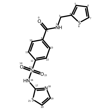 O=C(NCc1cccs1)c1ccc(S(=O)(=O)Nc2nccs2)cc1